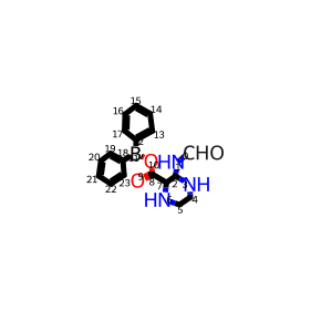 O=CNC1NCCNC1C(=O)OB(c1ccccc1)c1ccccc1